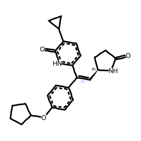 O=C1CC[C@H](/C=C(/c2ccc(OC3CCCC3)cc2)c2ccc(C3CC3)c(=O)[nH]2)N1